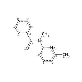 Cc1cccc(N(C)C(=O)c2ccccc2)n1